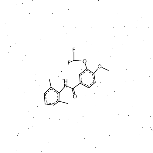 COc1ccc(C(=O)Nc2c(C)cccc2C)cc1OC(F)F